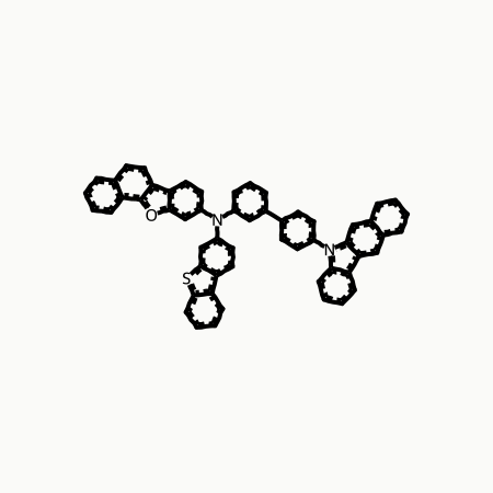 c1cc(-c2ccc(-n3c4ccccc4c4cc5ccccc5cc43)cc2)cc(N(c2ccc3c(c2)oc2c4ccccc4ccc32)c2ccc3c(c2)sc2ccccc23)c1